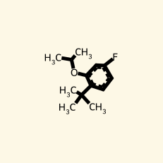 CC(C)Oc1cc(F)ccc1C(C)(C)C